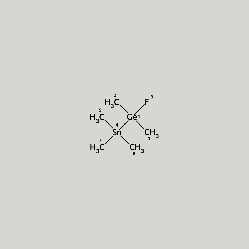 [CH3][Ge]([CH3])([F])[Sn]([CH3])([CH3])[CH3]